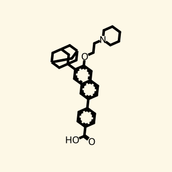 O=C(O)c1ccc(-c2ccc3cc(OCCN4CCCCC4)c(C45CC6CC(CC(C6)C4)C5)cc3c2)cc1